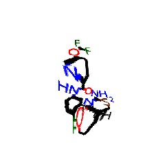 NC1=N[C@@]2(c3cc(NC(=O)c4ccc(OC(F)F)cn4)ccc3F)OCCC[C@H]2CS1